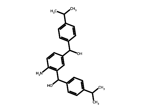 CC(C)c1ccc(C(O)c2ccc(N)c(C(O)c3ccc(C(C)C)cc3)c2)cc1